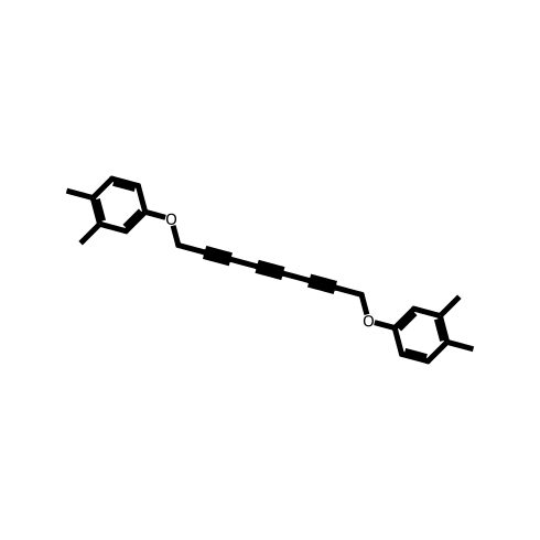 Cc1ccc(OCC#CC#CC#CCOc2ccc(C)c(C)c2)cc1C